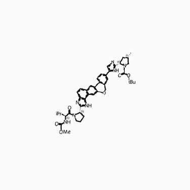 COC(=O)N[C@H](C(=O)N1CCC[C@H]1c1nc2ccc3cc4c(cc3c2[nH]1)OCc1cc(-c2cnc([C@@H]3C[C@H](C)CN3C(=O)OC(C)(C)C)[nH]2)ccc1-4)C(C)C